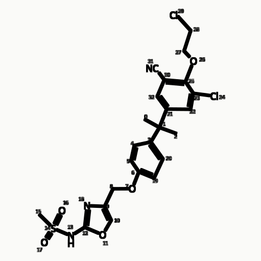 CC(C)(c1ccc(OCc2coc(NS(C)(=O)=O)n2)cc1)c1cc(Cl)c(OCCCl)c(C#N)c1